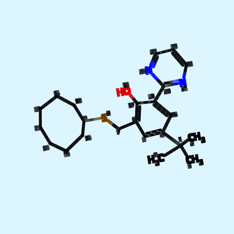 CC(C)(C)c1cc(CSC2CCCCCCC2)c(O)c(-c2ncccn2)c1